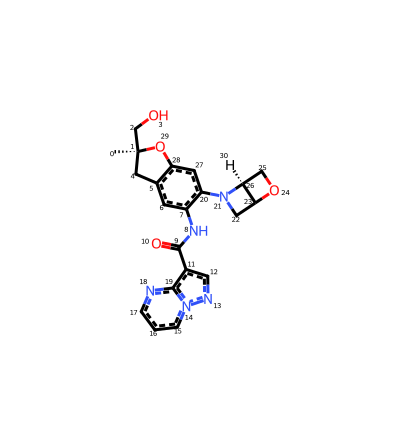 C[C@@]1(CO)Cc2cc(NC(=O)c3cnn4cccnc34)c(N3CC4OC[C@@H]43)cc2O1